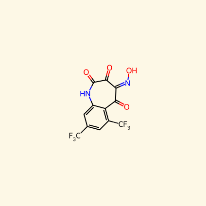 O=C1Nc2cc(C(F)(F)F)cc(C(F)(F)F)c2C(=O)C(=NO)C1=O